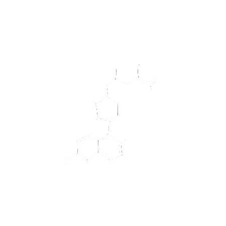 Cc1ccc2c(N3CCN(CC(C)CC(O)C=O)CC3)nc(Cl)nc2c1